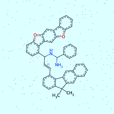 CC1(C)c2cc3ccccc3cc2-c2c(/C=C/C(NC(N)c3ccccc3)c3cccc4oc5cc6c(cc5c34)oc3ccccc36)cccc21